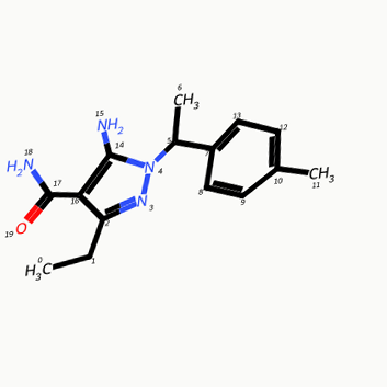 CCc1nn(C(C)c2ccc(C)cc2)c(N)c1C(N)=O